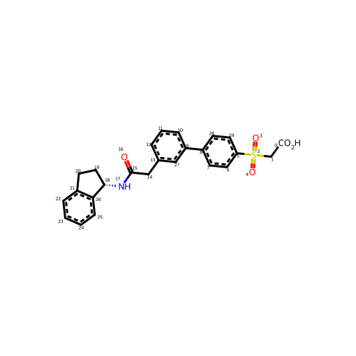 O=C(O)CS(=O)(=O)c1ccc(-c2cccc(CC(=O)N[C@H]3CCc4ccccc43)c2)cc1